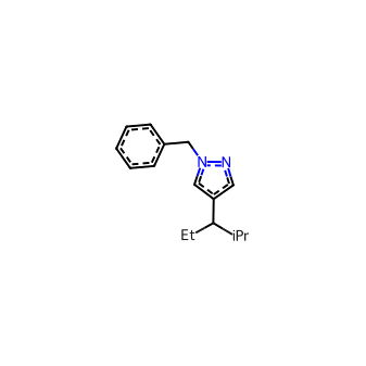 CCC(c1cnn(Cc2ccccc2)c1)C(C)C